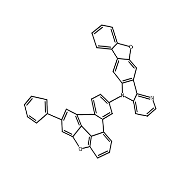 c1ccc(-c2cc3oc4cccc5c6cc(-n7c8cc9c(cc8c8ncccc87)oc7ccccc79)ccc6c(c2)c3c45)cc1